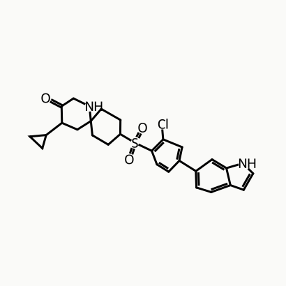 O=C1CNC2(CCC(S(=O)(=O)c3ccc(-c4ccc5cc[nH]c5c4)cc3Cl)CC2)CC1C1CC1